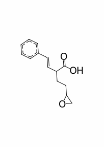 O=C(O)C(/C=C/c1ccccc1)CCC1CO1